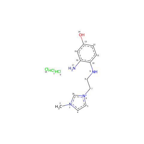 Cl.Cl.Cn1cc[n+](CCNc2ccc(O)cc2N)c1.[Cl-]